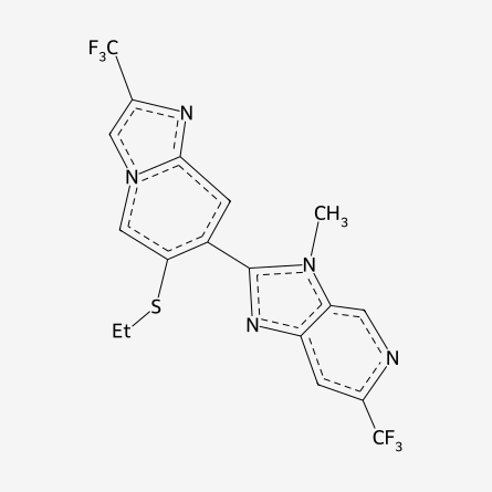 CCSc1cn2cc(C(F)(F)F)nc2cc1-c1nc2cc(C(F)(F)F)ncc2n1C